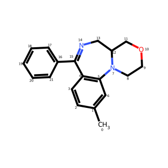 Cc1ccc2c(c1)N1CCOCC1CN=C2c1ccccc1